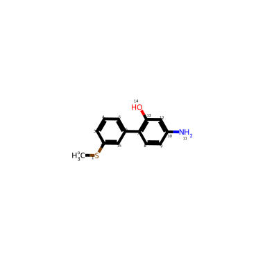 CSc1cccc(-c2ccc(N)cc2O)c1